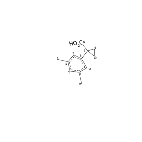 Cc1cc(C)cc(C2(C(=O)O)CC2)c1